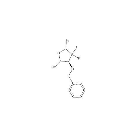 CC[C@H]1OC(O)[C@H](OCc2ccccc2)C1(F)F